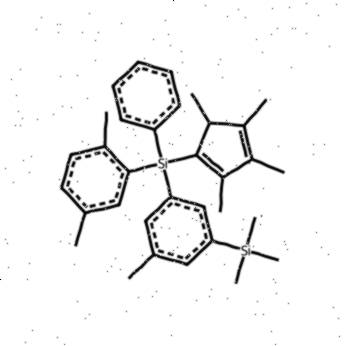 CC1=C(C)C(C)C([Si](c2ccccc2)(c2cc(C)cc([Si](C)(C)C)c2)c2cc(C)ccc2C)=C1C